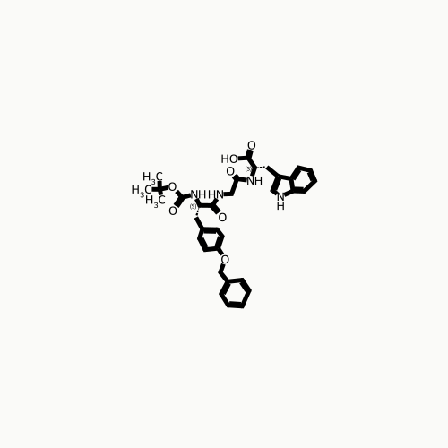 CC(C)(C)OC(=O)N[C@@H](Cc1ccc(OCc2ccccc2)cc1)C(=O)NCC(=O)N[C@@H](Cc1c[nH]c2ccccc12)C(=O)O